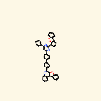 c1ccc(-c2cc(-c3ccc(-c4ccc(-c5nc6ccccc6c6c5oc5ccccc56)cc4)cc3)nc(-c3cccc4c3oc3ccccc34)n2)cc1